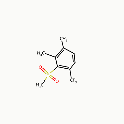 Cc1ccc(C(F)(F)F)c(S(C)(=O)=O)c1C